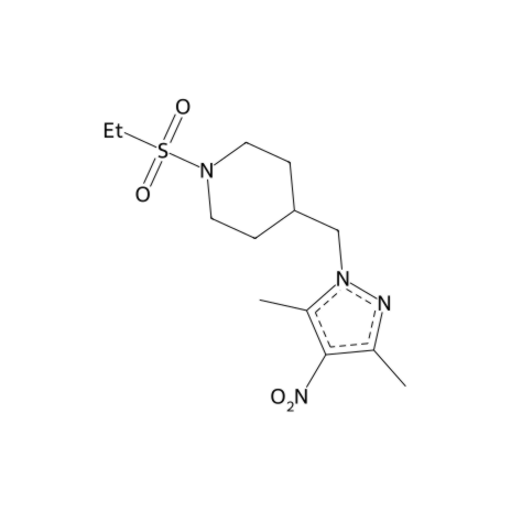 CCS(=O)(=O)N1CCC(Cn2nc(C)c([N+](=O)[O-])c2C)CC1